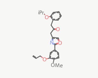 C=CCOc1cc(-c2nc(CC(=O)Cc3ccccc3OC(C)C)co2)ccc1OC